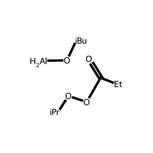 CCC(=O)OOC(C)C.CCC(C)[O][AlH2]